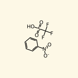 O=S(=O)(O)C(F)(F)F.O=[N+]([O-])c1ccccc1